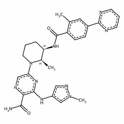 Cc1cc(-c2ncccn2)ccc1C(=O)N[C@@H]1CCCN(c2cnc(C(N)=O)c(Nc3cnn(C)c3)n2)[C@@H]1C